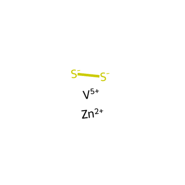 [S-][S-].[V+5].[Zn+2]